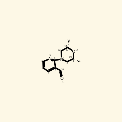 C[C@@H]1CN(c2ncccc2C=O)C[C@H](C)O1